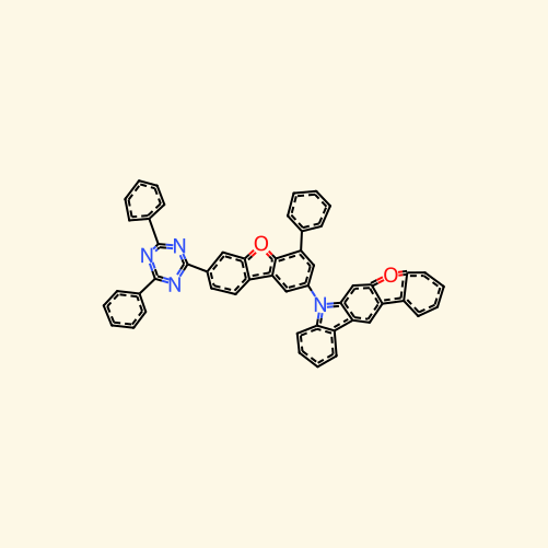 c1ccc(-c2nc(-c3ccccc3)nc(-c3ccc4c(c3)oc3c(-c5ccccc5)cc(-n5c6ccccc6c6cc7c(cc65)oc5ccccc57)cc34)n2)cc1